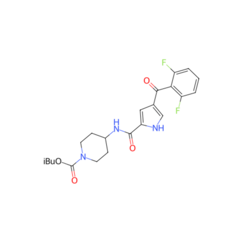 CC(C)COC(=O)N1CCC(NC(=O)c2cc(C(=O)c3c(F)cccc3F)c[nH]2)CC1